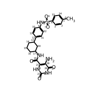 Cc1ccc(S(=O)(=O)Nc2ccc(C3CCCC(NC(=O)c4[nH]c(=O)[nH]c(=O)c4N)C3)cc2)cc1